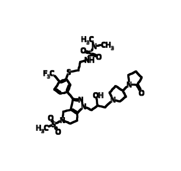 CN(C)S(=O)(=O)NCCSc1cc(-c2nn(CC(O)CN3CCC(N4CCCC4=O)CC3)c3c2CN(S(C)(=O)=O)CC3)ccc1C(F)(F)F